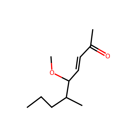 CCCC(C)C(C=CC(C)=O)OC